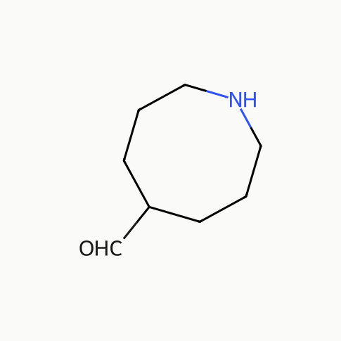 O=CC1CCCNCCC1